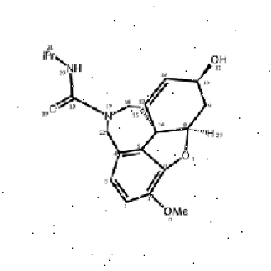 COc1ccc2c3c1O[C@@H]1C[C@H](O)C=C[C@]31CCN(C(=O)NC(C)C)C2